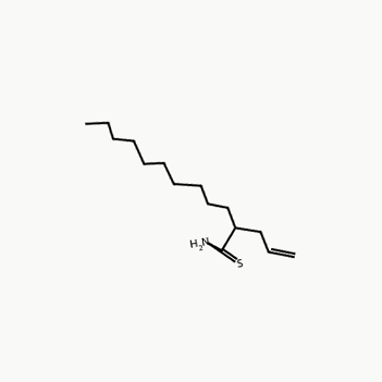 C=CCC(CCCCCCCCCC)C(N)=S